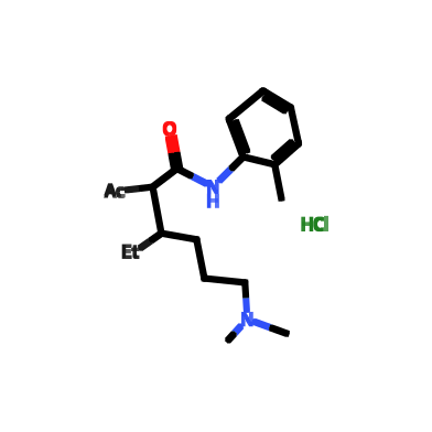 CCC(CCCN(C)C)C(C(C)=O)C(=O)Nc1ccccc1C.Cl